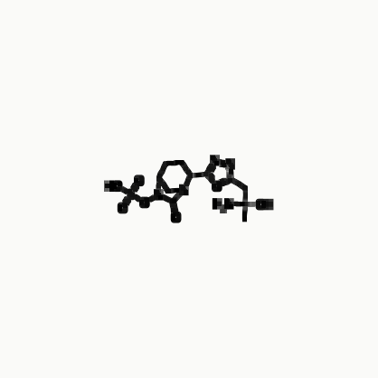 CC(N)(O)Cc1nnc(C2CCC3CN2C(=O)N3OS(=O)(=O)O)o1